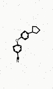 N#Cc1ccc(Oc2ccc(C3CCCC3)cc2)cc1